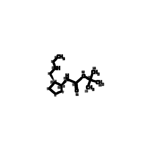 CCNC[C@H]1CCC[C@@H]1NC(=O)OC(C)(C)C